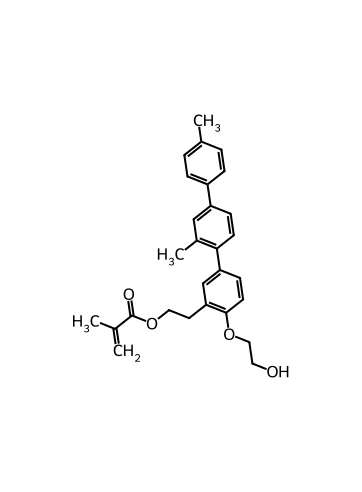 C=C(C)C(=O)OCCc1cc(-c2ccc(-c3ccc(C)cc3)cc2C)ccc1OCCO